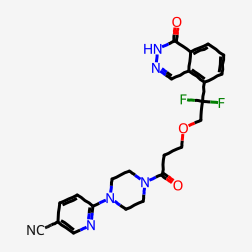 N#Cc1ccc(N2CCN(C(=O)CCOCC(F)(F)c3cccc4c(=O)[nH]ncc34)CC2)nc1